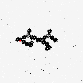 c1ccc(-c2ccc(-c3nc(-c4ccccc4)nc(-c4ccc(-c5cc6cc(-c7ccc8cc(-c9nc(-c%10ccccc%10)nc(-c%10ccc(-c%11cc%12ccccc%12cc%11-c%11ccc(-c%12ccc%13c(c%12)-c%12cccc%14cccc-%13c%12%14)cc%11)cc%10)n9)ccc8c7)ccc6cc5-c5ccc(-c6ccc7c(c6)-c6cccc8cccc-7c68)cc5)cc4)n3)cc2)cc1